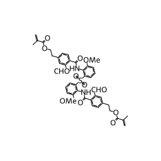 C=C(C)C(=O)OCCc1ccc(C(=O)Nc2c(OC)cccc2S(=O)(=O)c2cccc(OC)c2NC(=O)c2ccc(CCOC(=O)C(=C)C)cc2C=O)c(C=O)c1